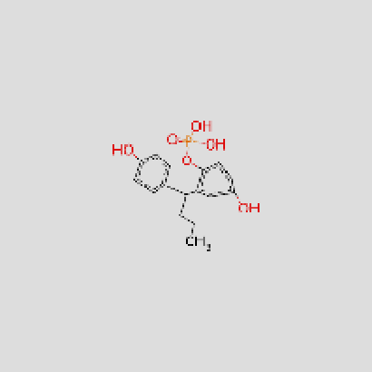 CCCC(c1ccc(O)cc1)c1cc(O)ccc1OP(=O)(O)O